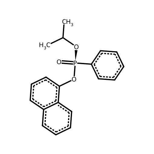 CC(C)O[P@](=O)(Oc1cccc2ccccc12)c1ccccc1